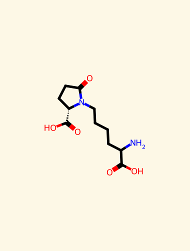 NC(CCCCN1C(=O)CC[C@H]1C(=O)O)C(=O)O